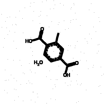 Cc1cc(C(=O)O)ccc1C(=O)O.O